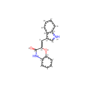 O=C1Nc2ccccc2OC1=Cc1c[nH]c2ccccc12